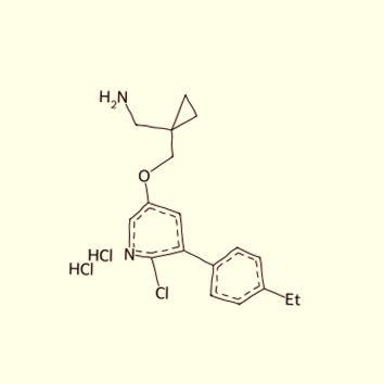 CCc1ccc(-c2cc(OCC3(CN)CC3)cnc2Cl)cc1.Cl.Cl